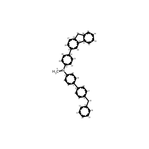 CN(c1ccc(-c2ccc(Cc3ccccc3)cc2)cc1)c1ccc(-c2ccc3c(c2)-c2ccccc2C3)cc1